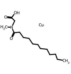 CCCCCCCCCCCC(=O)N(C)CC(=O)O.[Cu]